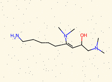 CN(C)CC(O)C=C(CCCCCN)N(C)C